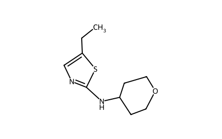 CCc1cnc(NC2CCOCC2)s1